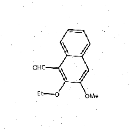 CCOc1c(OC)cc2ccccc2c1[C]=O